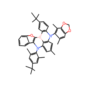 Cc1cc2c3c(c1)N(c1c(C)cc(C(C)(C)C)cc1C)c1c(oc4ccccc14)B3c1cc(C(C)(C)C)ccc1N2c1c(C)cc2c(c1C)OCO2